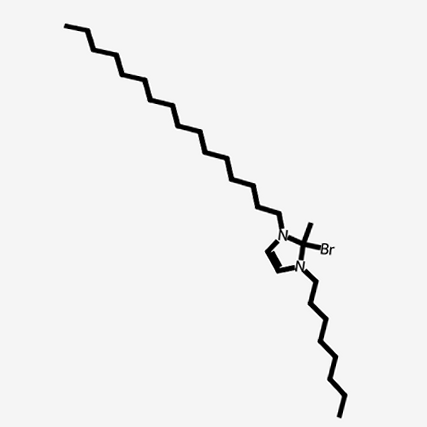 CCCCCCCCCCCCCCCCN1C=CN(CCCCCCCC)C1(C)Br